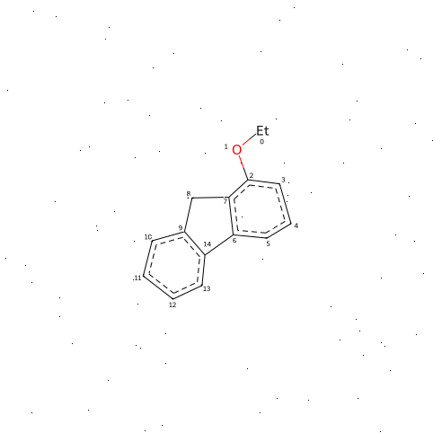 CCOc1cccc2c1[CH]c1ccccc1-2